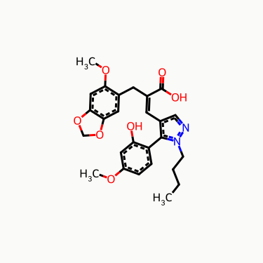 CCCCn1ncc(C=C(Cc2cc3c(cc2OC)OCO3)C(=O)O)c1-c1ccc(OC)cc1O